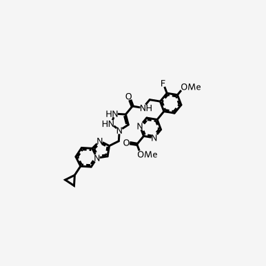 COC(=O)c1ncc(-c2ccc(OC)c(F)c2CNC(=O)C2=CN(Cc3cn4cc(C5CC5)ccc4n3)NN2)cn1